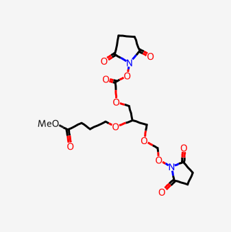 COC(=O)CCCOC(COCON1C(=O)CCC1=O)COC(=O)ON1C(=O)CCC1=O